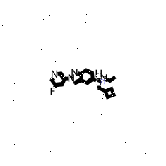 CC/N=[SH2](\CC1CCC1)c1ccc2nn(-c3cncc(F)c3)cc2c1